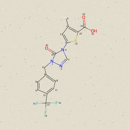 Cc1cc(-n2cnn(Cc3ccc(C(F)(F)F)cc3)c2=O)sc1C(=O)O